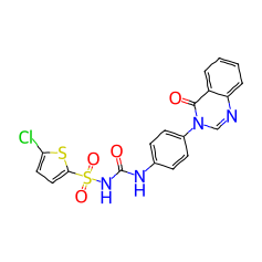 O=C(Nc1ccc(-n2cnc3ccccc3c2=O)cc1)NS(=O)(=O)c1ccc(Cl)s1